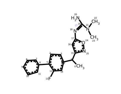 CC(c1ccc(-c2ccccc2)c(F)c1)c1cc(/N=C(/N)N(C)C)on1